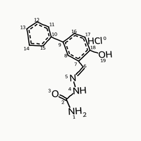 Cl.NC(=O)NN=Cc1cc(-c2ccccc2)ccc1O